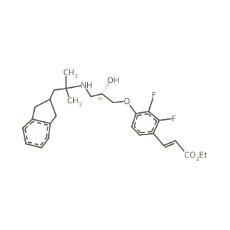 CCOC(=O)/C=C/c1ccc(OC[C@@H](O)CNC(C)(C)CC2Cc3ccccc3C2)c(F)c1F